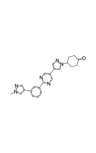 Cn1cc(-c2cccc(-c3ncc(-c4cnn(C5CCC(=O)CC5)c4)cn3)c2)cn1